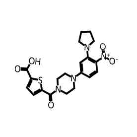 O=C(O)c1ccc(C(=O)N2CCN(c3ccc([N+](=O)[O-])c(N4CCCC4)c3)CC2)s1